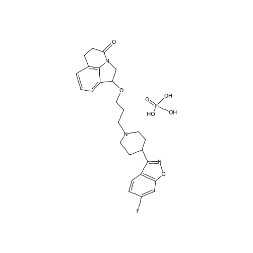 O=C1CCc2cccc3c2N1CC3OCCCN1CCC(c2noc3cc(F)ccc23)CC1.O=P(O)(O)O